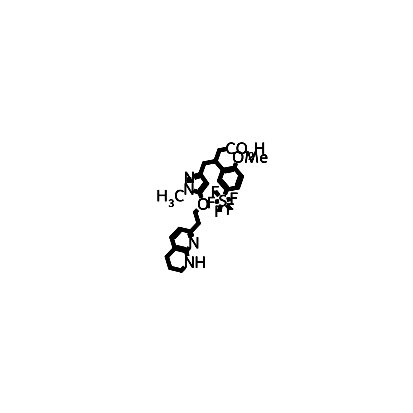 COc1ccc(S(F)(F)(F)(F)F)cc1C(CC(=O)O)Cc1cc(OCCc2ccc3c(n2)NCCC3)n(C)n1